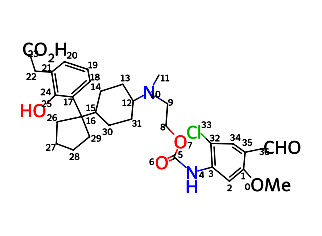 COc1cc(NC(=O)OCCN(C)C2CCC(C3(c4cccc(CC(=O)O)c4O)CCCC3)CC2)c(Cl)cc1C=O